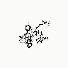 Cc1ccc(CCN[C@@H](C)C(=O)O)cc1.NCCCC[C@@H](N)C(=O)NC(=O)c1ccc2ccccc2n1.O=C(O)C(F)(F)F